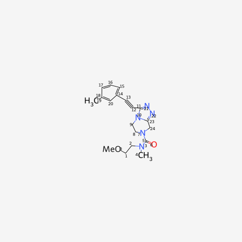 COCCN(C)C(=O)N1CCn2c(C#Cc3cccc(C)c3)nnc2C1